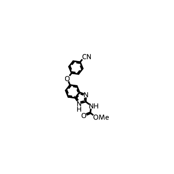 COC(=O)Nc1nc2cc(Oc3ccc(C#N)cc3)ccc2[nH]1